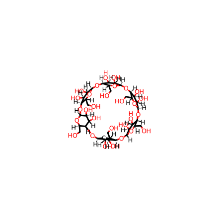 OC[C@H]1C[C@@H]2O[C@H]3[C@@H](O)[C@H](O)[C@@H](O[C@H]4[C@@H](O)[C@H](O)[C@@H](O[C@H]5[C@@H](O)[C@H](O)[C@@H](O[C@H]6[C@@H](O)[C@H](O)[C@@H](O[C@H]7[C@@H](O)[C@H](O)[C@@H](O[C@H]1[C@@H](O)[C@@H]2O)O[C@@H]7CO)O[C@@H]6CO)O[C@@H]5CO)O[C@@H]4CO)O[C@@H]3CO